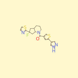 O=C(c1csc(-c2cn[nH]c2)c1)N1CCCC2CC(F)(c3nccs3)CC21